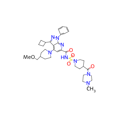 COCC1CCN(c2cc(C(=O)NS(=O)(=O)N3CCC(C(=O)N4CCN(C)CC4)CC3)nc3c2c(C2CCC2)nn3-c2ccccc2)CC1